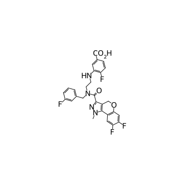 Cn1nc(C(=O)N(CCNc2cc(C(=O)O)ccc2F)Cc2cccc(F)c2)c2c1-c1cc(F)c(F)cc1OC2